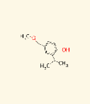 COCc1ccc(O)c(C(C)C)c1